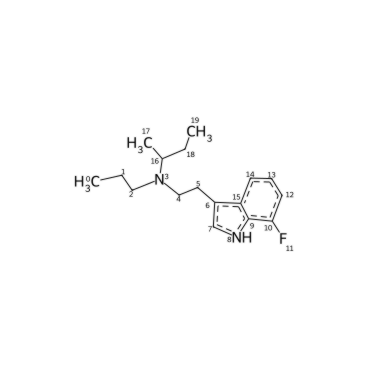 CCCN(CCc1c[nH]c2c(F)cccc12)C(C)CC